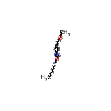 CCCCCCCC/C=C/COc1cnc(-c2ccc(CCCCCOCCC)cc2)nc1